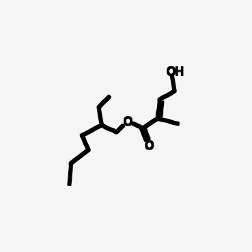 CCCCC(CC)COC(=O)C(C)=CCO